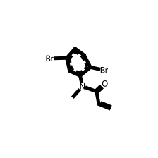 C=CC(=O)N(C)c1cc(Br)ccc1Br